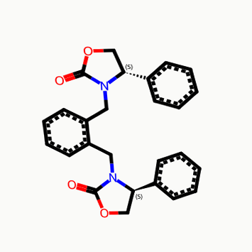 O=C1OC[C@H](c2ccccc2)N1Cc1ccccc1CN1C(=O)OC[C@@H]1c1ccccc1